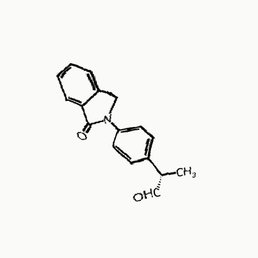 C[C@H](C=O)c1ccc(N2Cc3ccccc3C2=O)cc1